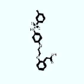 Cc1cccc(S(=O)(=O)Nc2ccc(OCCOc3ccccc3CC(=O)O)cc2)c1